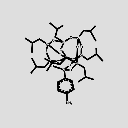 CC(C)C[Si]12O[Si]3(CC(C)C)O[Si]4(CC(C)C)O[Si](CC(C)C)(O1)O[Si]1(CC(C)C)O[Si](CC(C)C)(O2)O[Si](CC(C)C)(O3)O[Si](c2ccc(N)cc2)(O4)O1